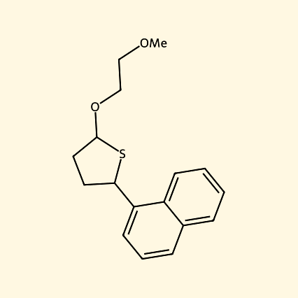 COCCOC1CCC(c2cccc3ccccc23)S1